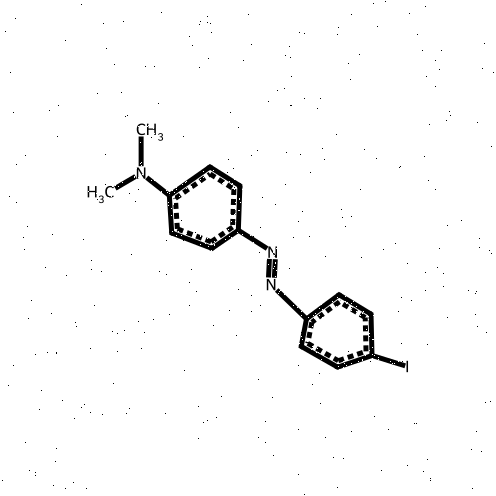 CN(C)c1ccc(/N=N/c2ccc(I)cc2)cc1